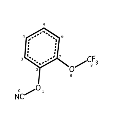 N#COc1ccccc1OC(F)(F)F